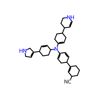 N#CC1C=C(C2C=CC(N(C3=CCC(C4C=CNCC4)CC3)C3C=CC(C4=CCNC4)CC3)=CC2)CCC1